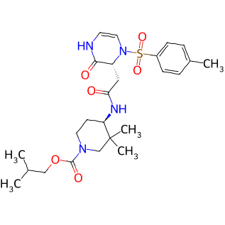 Cc1ccc(S(=O)(=O)N2C=CNC(=O)[C@H]2CC(=O)N[C@@H]2CCN(C(=O)OCC(C)C)CC2(C)C)cc1